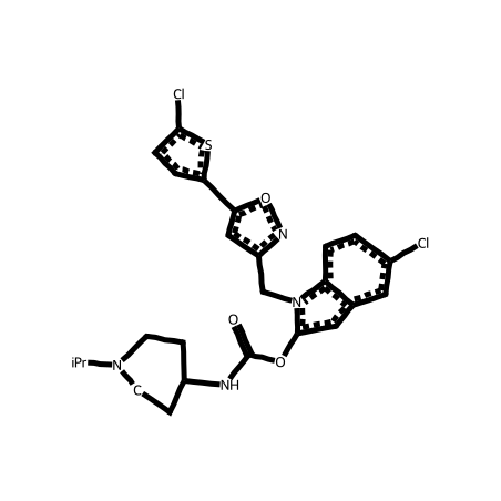 CC(C)N1CCC(NC(=O)Oc2cc3cc(Cl)ccc3n2Cc2cc(-c3ccc(Cl)s3)on2)CC1